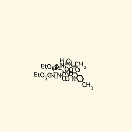 CCCNC(=O)[C@@H]1CCCN1C(=O)[C@@H](C)Oc1cc(C(=O)N[C@@H](CCC(=O)OCC)C(=O)N2CCN(C(=O)OCC)CC2)nc2cc(C)ccc12